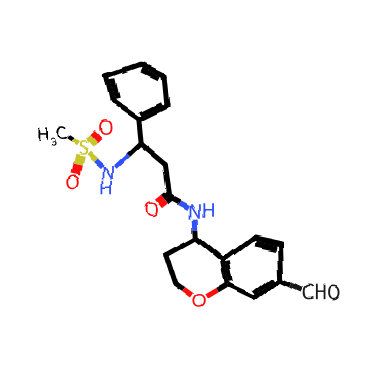 CS(=O)(=O)NC(CC(=O)NC1CCOc2cc(C=O)ccc21)c1ccccc1